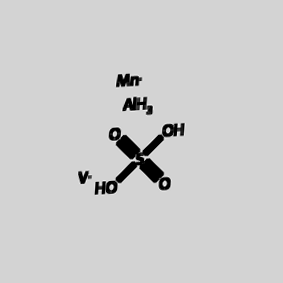 O=S(=O)(O)O.[AlH3].[Mn].[V]